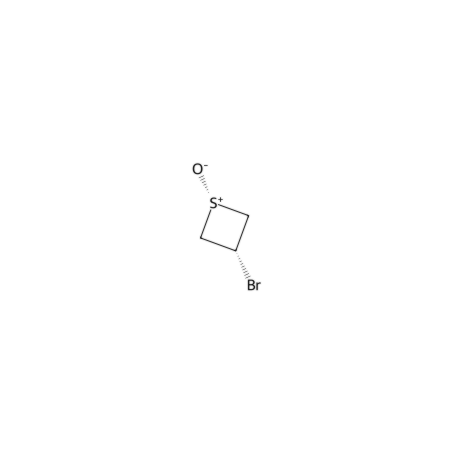 [O-][S@+]1C[C@H](Br)C1